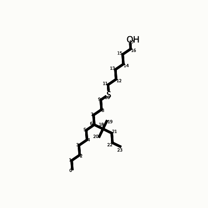 CCCCCCC(CCCSCCCCCCO)C(C)(C)CCC